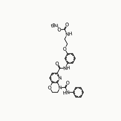 CC(C)(C)OC(=O)NCCOc1cccc(NC(=O)c2ccc3c(n2)N(C(=O)Nc2ccccc2)CCO3)c1